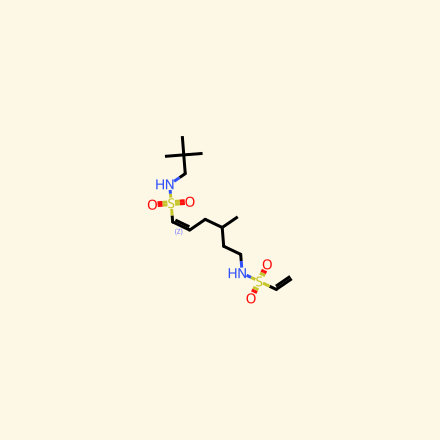 C=CS(=O)(=O)NCCC(C)C/C=C\S(=O)(=O)NCC(C)(C)C